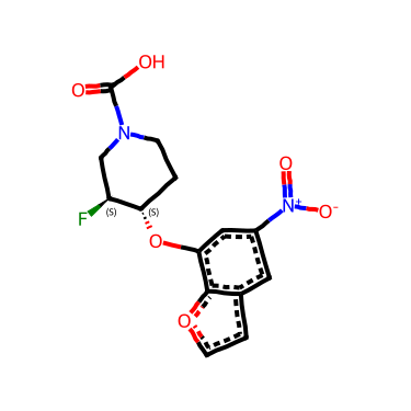 O=C(O)N1CC[C@H](Oc2cc([N+](=O)[O-])cc3ccoc23)[C@@H](F)C1